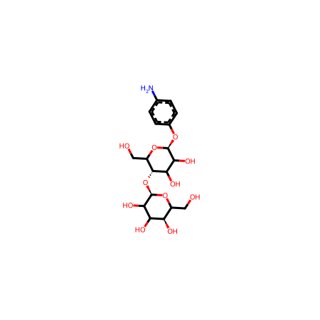 Nc1ccc(O[C@@H]2OC(CO)[C@@H](O[C@H]3OC(CO)[C@@H](O)C(O)C3O)C(O)C2O)cc1